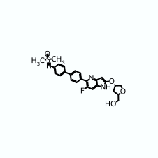 CS(C)(=O)=Nc1ccc(-c2ccc(-c3nc4cc(O[C@@H]5COC(CO)C5)[nH]c4cc3F)cc2)cc1